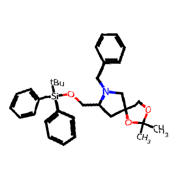 CC1(C)OCC2(CC(CO[Si](c3ccccc3)(c3ccccc3)C(C)(C)C)N(Cc3ccccc3)C2)O1